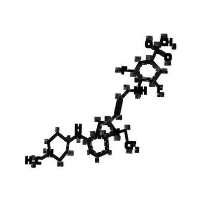 CN1CCC(Nc2cccc3c2cc(C#CCNc2c(F)cc(S(C)(=O)=O)cc2F)n3CC(F)(F)F)CC1